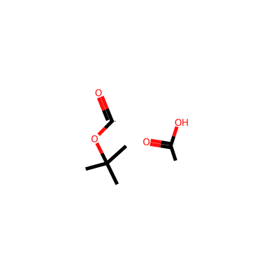 CC(=O)O.CC(C)(C)O[C]=O